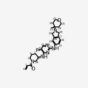 C=CC(=O)N1CCCC(Nc2nc(Nc3ccc4c(c3)CN(C3(C)CCOCC3)C4)ncc2F)C1